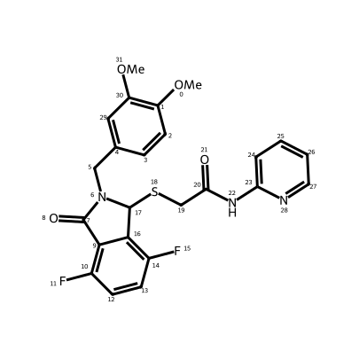 COc1ccc(CN2C(=O)c3c(F)ccc(F)c3C2SCC(=O)Nc2ccccn2)cc1OC